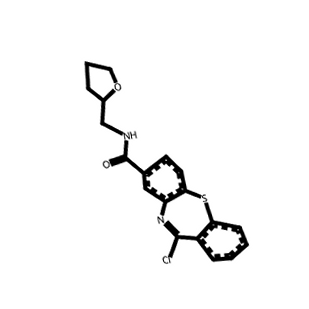 O=C(NCC1CCCO1)c1ccc2c(c1)N=C(Cl)c1ccccc1S2